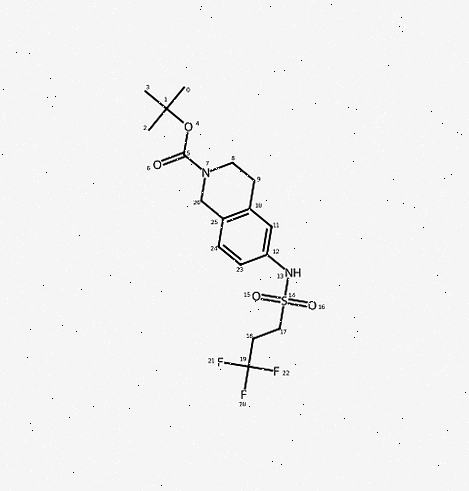 CC(C)(C)OC(=O)N1CCc2cc(NS(=O)(=O)CCC(F)(F)F)ccc2C1